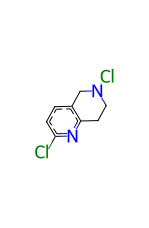 Clc1ccc2c(n1)CCN(Cl)C2